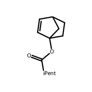 CCCC(C)C(=O)OC12C=CC(CC1)C2